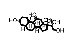 C[C@]12CC[C@@H](O)C[C@H]1CC[C@@H]1[C@@H]2[C@@H](O)C[C@@]2(C)[C@H]1CC[C@]2(O)[C@H](O)CO